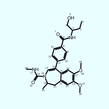 CCC(CO)NC(=O)c1ccc(C2=CN(C(=O)NC)C(C)Cc3cc(OC)c(OC)cc32)cc1